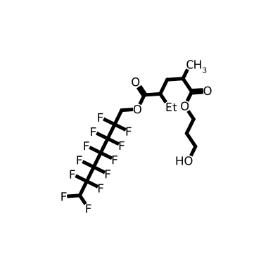 CCC(CC(C)C(=O)OCCCO)C(=O)OCC(F)(F)C(F)(F)C(F)(F)C(F)(F)C(F)(F)C(F)F